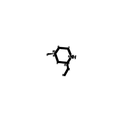 CC[C@H]1C[C@H](C)CCN1